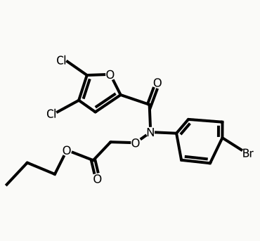 CCCOC(=O)CON(C(=O)c1cc(Cl)c(Cl)o1)c1ccc(Br)cc1